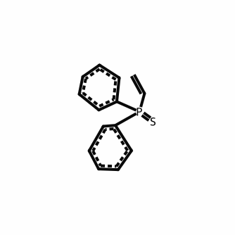 C=CP(=S)(c1ccccc1)c1ccccc1